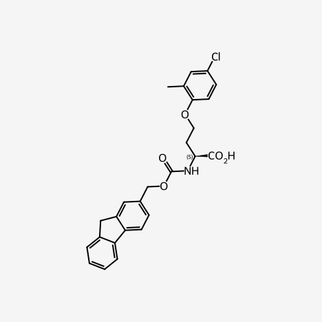 Cc1cc(Cl)ccc1OCC[C@H](NC(=O)OCc1ccc2c(c1)Cc1ccccc1-2)C(=O)O